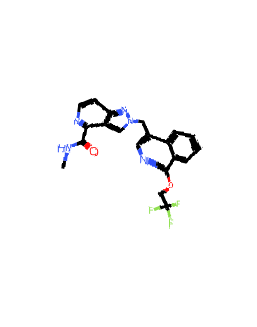 CNC(=O)c1nccc2nn(Cc3cnc(OCC(F)(F)F)c4ccccc34)cc12